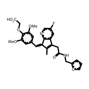 COc1cc(/C=C2/C(C)=C(CC(=O)NCc3ccco3)c3cc(F)cnc32)cc(OC)c1OCC(=O)O